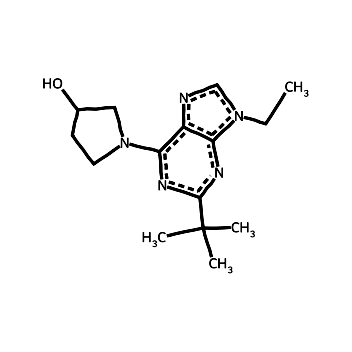 CCn1cnc2c(N3CCC(O)C3)nc(C(C)(C)C)nc21